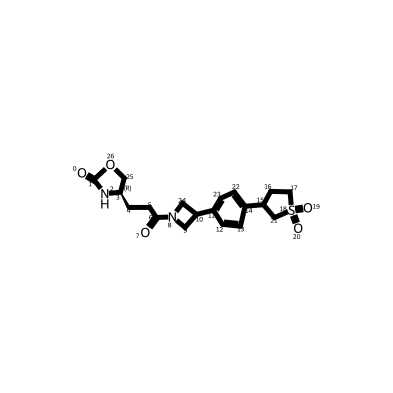 O=C1N[C@H](CCC(=O)N2CC(c3ccc(C4CCS(=O)(=O)C4)cc3)C2)CO1